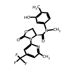 Cc1cc(C(F)(F)F)cc(N2C(=O)OC[C@H]2C(=O)N(C)c2ccc(C)c(O)c2)n1